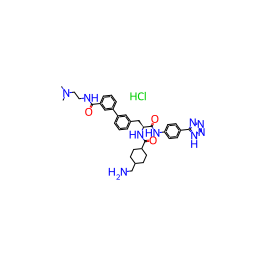 CN(C)CCNC(=O)c1cccc(-c2cccc(C[C@H](NC(=O)C3CCC(CN)CC3)C(=O)Nc3ccc(-c4nnn[nH]4)cc3)c2)c1.Cl